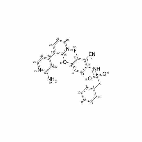 N#Cc1c(NS(=O)(=O)Cc2ccccc2)ccc(Oc2ncccc2-c2ccnc(N)n2)c1F